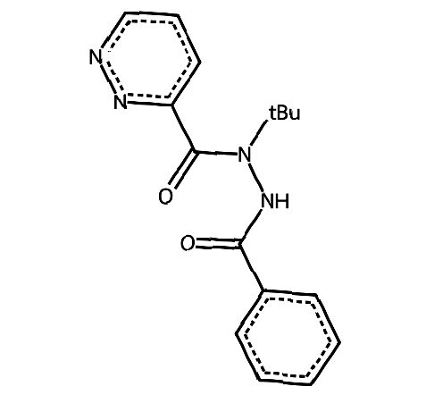 CC(C)(C)N(NC(=O)c1ccccc1)C(=O)c1cccnn1